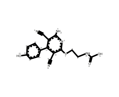 N#Cc1c(N)nc(SCCNC(=O)O)c(C#N)c1-c1ccc(O)cc1